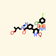 COc1ncc(-c2ccc3ncn(CCC(C)C=O)c(=O)c3c2)cc1NS(=O)(=O)c1ccc(F)cc1Cl